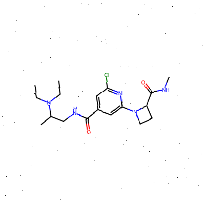 CCN(CC)C(C)CNC(=O)c1cc(Cl)nc(N2CCC2C(=O)NC)c1